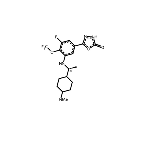 CNC1CCC([C@H](C)Nc2cc(-c3n[nH]c(=O)o3)cc(F)c2OC(F)(F)F)CC1